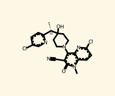 C[C@@H](c1ccc(Cl)cn1)C1(O)CCN(c2c(C#N)c(=O)n(C)c3ccc(Cl)nc23)CC1